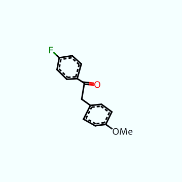 COc1ccc(CC(=O)c2ccc(F)cc2)cc1